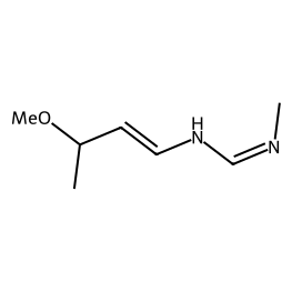 C/N=C\N/C=C/C(C)OC